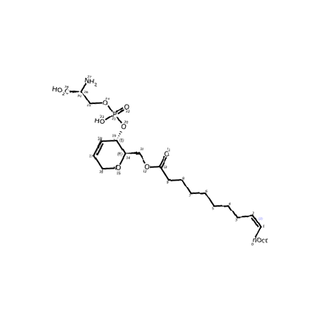 CCCCCCCC/C=C\CCCCCCCC(=O)OC[C@H]1OCC=C[C@@H]1OP(=O)(O)OC[C@H](N)C(=O)O